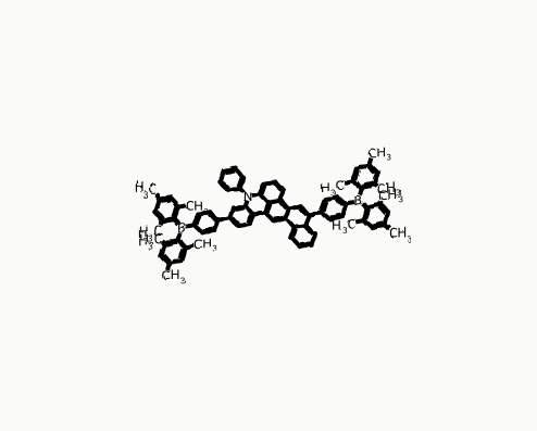 Cc1cc(C)c(B(c2ccc(-c3ccc4c(c3)N(c3ccccc3)c3cccc5c3c-4cc3c4ccccc4c(-c4ccc(B(c6c(C)cc(C)cc6C)c6c(C)cc(C)cc6C)cc4)cc53)cc2)c2c(C)cc(C)cc2C)c(C)c1